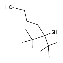 CC(C)(C)C(S)(CCCO)C(C)(C)C